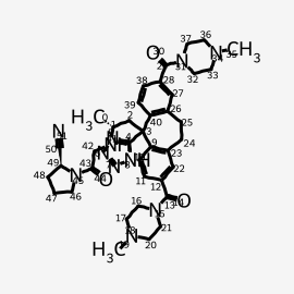 C[C@H](CC1(c2nnn[nH]2)c2ccc(C(=O)N3CCN(C)CC3)cc2CCc2cc(C(=O)N3CCN(C)CC3)ccc21)NCC(=O)N1CCC[C@H]1C#N